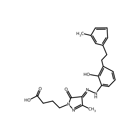 CC1=NN(CCCC(=O)O)C(=O)/C1=N/Nc1cccc(CCc2cccc(C)c2)c1O